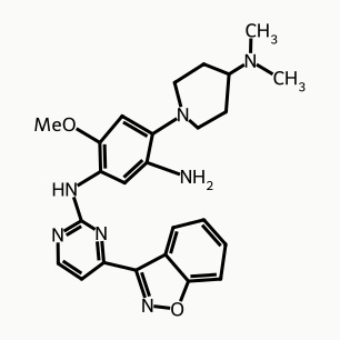 COc1cc(N2CCC(N(C)C)CC2)c(N)cc1Nc1nccc(-c2noc3ccccc23)n1